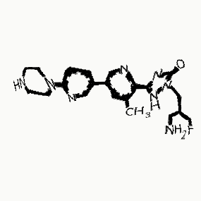 Cc1cc(-c2ccc(N3CCNCC3)nc2)cnc1-c1nc(=O)n(C/C(=C/F)CN)[nH]1